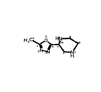 Cc1nnc(C2CNCCN2)o1